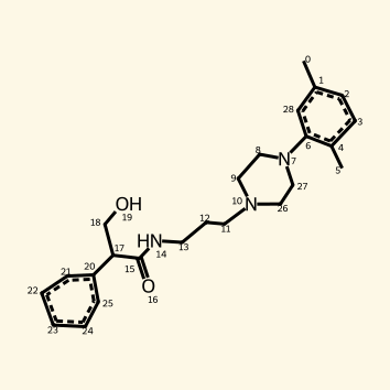 Cc1ccc(C)c(N2CCN(CCCNC(=O)C(CO)c3ccccc3)CC2)c1